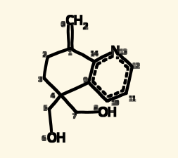 C=C1CCC(CO)(CO)c2cccnc21